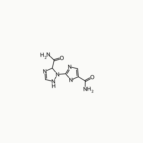 NC(=O)C1=CN=C(N2NC=NC2C(N)=O)[N]1